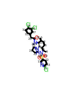 C=C(/C=C\C=C(/C)NS(=O)(=O)c1ccc(Cl)nc1)[C@@H](CN1CCCC1)N(C)C(=O)Cc1ccc(Cl)c(Cl)c1